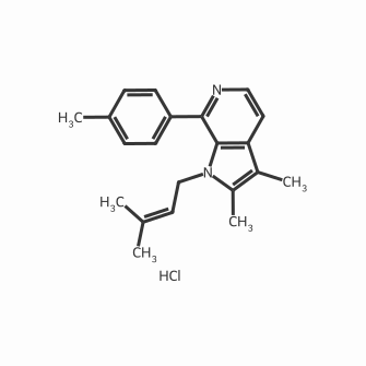 CC(C)=CCn1c(C)c(C)c2ccnc(-c3ccc(C)cc3)c21.Cl